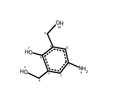 Nc1cc(CO)c(O)c(CO)c1